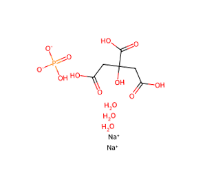 O.O.O.O=C(O)CC(O)(CC(=O)O)C(=O)O.O=P([O-])([O-])O.[Na+].[Na+]